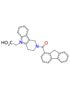 O=C(O)Cn1c2c(c3ccccc31)CN(C(=O)c1cccc3c1Cc1ccccc1-3)CC2